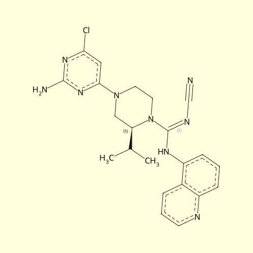 CC(C)[C@H]1CN(c2cc(Cl)nc(N)n2)CCN1/C(=N\C#N)Nc1cccc2ncccc12